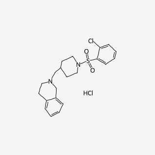 Cl.O=S(=O)(c1ccccc1Cl)N1CCC(CN2CCc3ccccc3C2)CC1